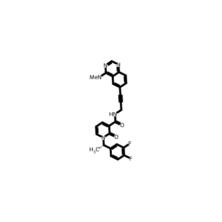 CNc1ncnc2ccc(C#CCNC(=O)c3cccn([C@@H](C)c4ccc(F)c(F)c4)c3=O)cc12